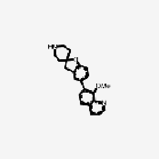 COc1c(-c2ccc3c(c2)CC2(CCNCC2)O3)ccc2cccnc12